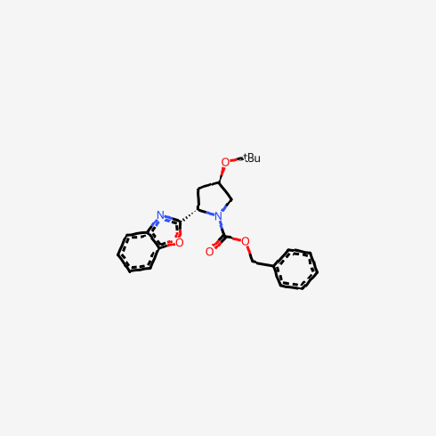 CC(C)(C)O[C@@H]1C[C@@H](c2nc3ccccc3o2)N(C(=O)OCc2ccccc2)C1